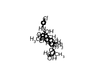 CC(C)C1=C2[C@H]3CC[C@@H]4[C@@]5(C)CC[C@H](OC(=O)CC(C)(C)CC(=O)O)C(C)(C)C5CC[C@@]4(C)[C@]3(C)CCC2(C(O)CNCc2ccc(Cl)cc2)CC1=O